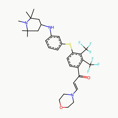 CN1C(C)(C)CC(Nc2cccc(Sc3ccc(C(=O)C=CN4CCOCC4)c(C(F)(F)F)c3C(F)(F)F)c2)CC1(C)C